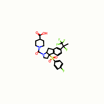 CC(F)(c1ccc2c(c1)CC1N(C(=O)N3CCC(C(=O)O)CC3)CCC21S(=O)(=O)c1ccc(F)cc1)C(F)(F)F